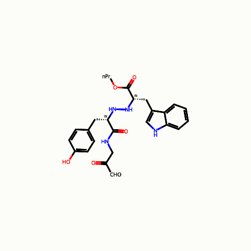 CCCOC(=O)[C@H](Cc1c[nH]c2ccccc12)NN[C@@H](Cc1ccc(O)cc1)C(=O)NCC(=O)C=O